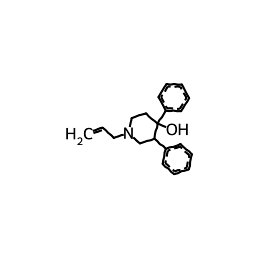 C=CCN1CCC(O)(c2ccccc2)C(c2ccccc2)C1